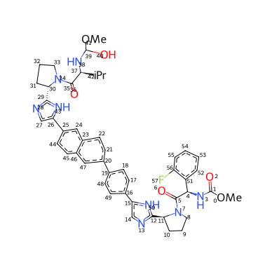 COC(=O)N[C@@H](C(=O)N1CCC[C@H]1c1ncc(-c2ccc(-c3ccc4cc(-c5cnc([C@@H]6CCCN6C(=O)[C@@H](NC(O)OC)C(C)C)[nH]5)ccc4c3)cc2)[nH]1)c1ccccc1F